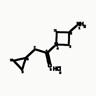 Cl.NC1CN(C(=O)CC2CC2)C1